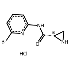 Cl.O=C(Nc1cccc(Br)n1)[C@@H]1CN1